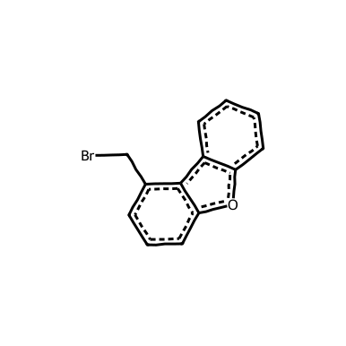 BrCc1cccc2oc3ccccc3c12